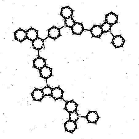 c1ccc(-n2c3ccccc3c3cc(-c4ccc5c(c4)c4ccccc4n5-c4ccc(-c5nc(-c6ccc7cc(-n8c9ccccc9c9cc(-c%10ccc%11c(c%10)c%10ccccc%10n%11-c%10ccccc%10)ccc98)ccc7c6)nc6c5ccc5ccccc56)cc4)ccc32)cc1